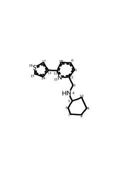 c1cc(CNC2CCCCC2)nc(-c2ccsc2)c1